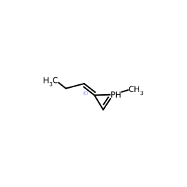 CC/C=C1C=[PH]\1C